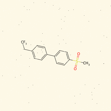 CS(=O)(=O)c1ccc(-c2ccc([CH]C(F)(F)F)cc2)cc1